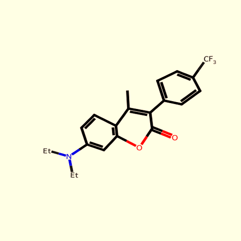 CCN(CC)c1ccc2c(C)c(-c3ccc(C(F)(F)F)cc3)c(=O)oc2c1